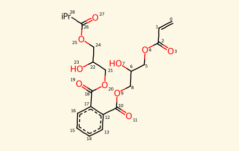 C=CC(=O)OCC(O)COC(=O)c1ccccc1C(=O)OCC(O)COC(=O)C(C)C